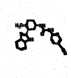 CN1CC[C@@H](NC(=O)Nc2ccc(C#N)cn2)C[C@@H]1C1=NC2C=CC=CC2N1